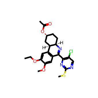 CCOc1cc2c(cc1OC)C(c1nc(SC)ncc1Cl)=N[C@@H]1CC[C@@H](OC(C)=O)C[C@H]21